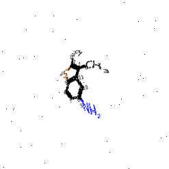 Cc1c(C(C)C)sc2ccc(N)cc12